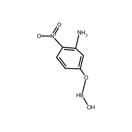 Nc1cc(OBO)ccc1[N+](=O)[O-]